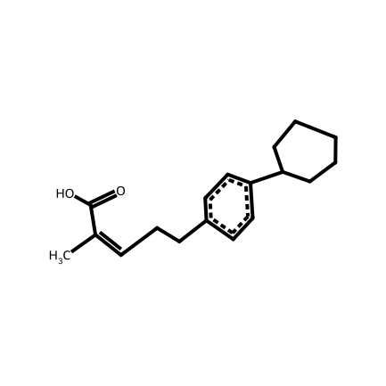 CC(=CCCc1ccc(C2CCCCC2)cc1)C(=O)O